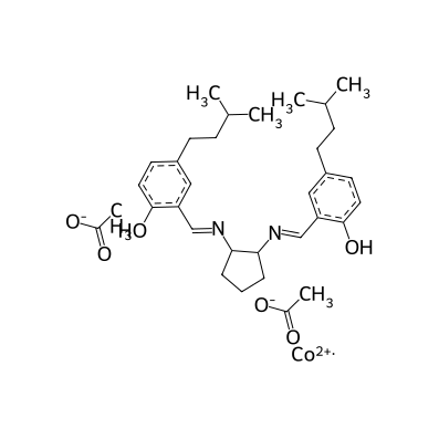 CC(=O)[O-].CC(=O)[O-].CC(C)CCc1ccc(O)c(C=NC2CCCC2N=Cc2cc(CCC(C)C)ccc2O)c1.[Co+2]